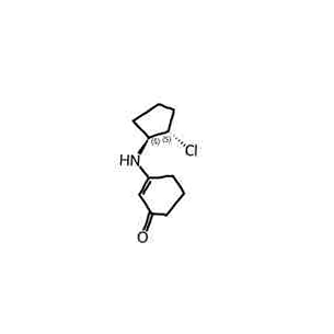 O=C1C=C(N[C@H]2CCC[C@@H]2Cl)CCC1